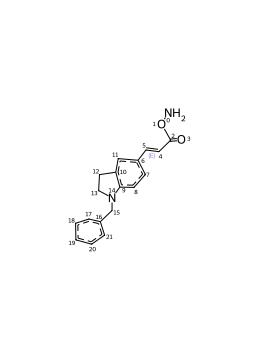 NOC(=O)/C=C/c1ccc2c(c1)CCN2Cc1ccccc1